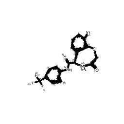 O=C1COc2c(Cl)cccc2C(C(=O)Nc2ccc(C(F)(F)F)cc2)N1